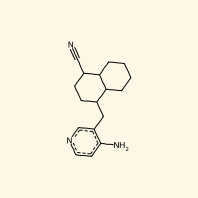 N#CC1CCC(Cc2cnccc2N)C2CCCCC12